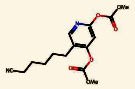 COC(=O)Oc1cc(OC(=O)OC)c(CCCCCC#N)cn1